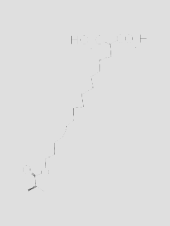 C=C(C)C(=O)OCCCCCCCCCCCCCCC(C(=O)O)C(=O)O